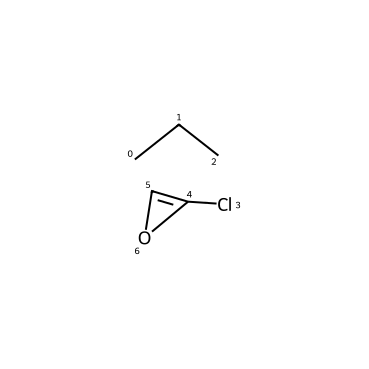 CCC.ClC1=CO1